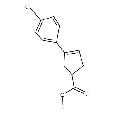 COC(=O)C1CC=C(c2ccc(Cl)cc2)C1